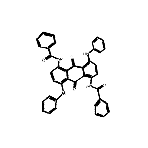 O=C(Nc1ccc(Nc2ccccc2)c2c1C(=O)c1c(Nc3ccccc3)ccc(NC(=O)c3ccccc3)c1C2=O)c1ccccc1